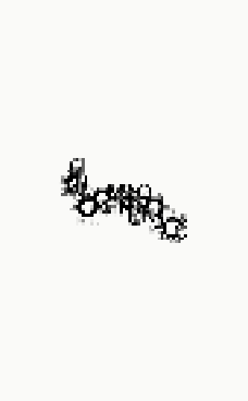 COc1ccc(C2(C)CCOCC2)nc1S(=O)(=O)NC(=O)c1ccc2c(-n3ccc(Cl)n3)cccc2n1